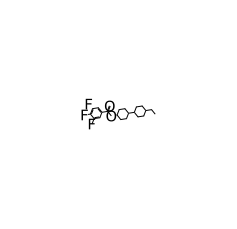 CCC1CCC(C2CCC(OC(=O)c3cc(F)c(F)c(F)c3)CC2)CC1